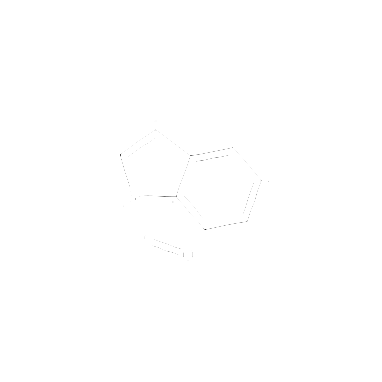 O=S.c1ccc2sccc2c1